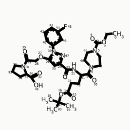 CCOC(=O)N1CCN(C(=O)C(CCC(=O)OC(C)(C)C)NC(=O)c2cc(OCC(=O)N3CCCC3C(=O)O)n(-c3cccc(F)c3)n2)CC1